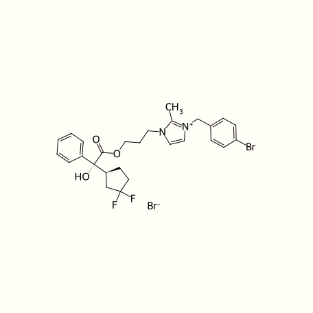 Cc1n(CCCOC(=O)[C@](O)(c2ccccc2)[C@H]2CCC(F)(F)C2)cc[n+]1Cc1ccc(Br)cc1.[Br-]